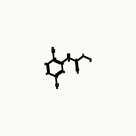 CCC(=O)Nc1cc(Cl)ccc1Cl